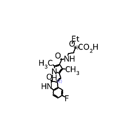 CCO[C@@H](CCNC(=O)c1c(C)[nH]c(/C=C2\C(=O)Nc3ccc(F)cc32)c1C)C(=O)O